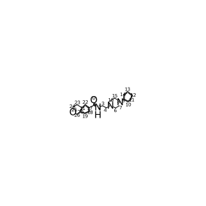 O=C(NCCN1CCN(c2ccccc2)CC1)c1ccc2c(c1)CCOC2